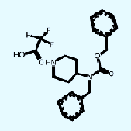 O=C(O)C(F)(F)F.O=C(OCc1ccccc1)N(Cc1ccccc1)C1CCNCC1